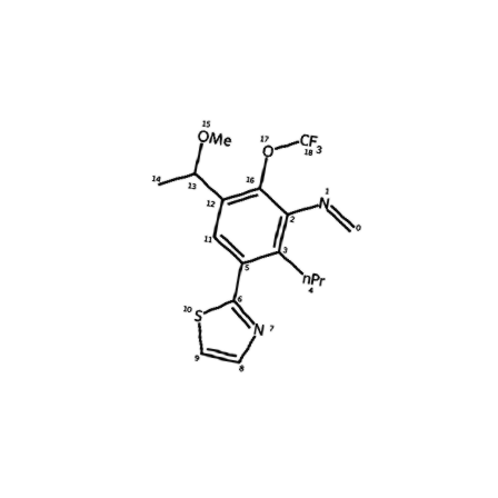 C=Nc1c(CCC)c(-c2nccs2)cc(C(C)OC)c1OC(F)(F)F